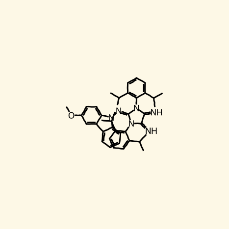 COc1ccc2c(c1)c1ccccc1n2N=C1N(c2c(C(C)C)cccc2C(C)C)C(=N)C(=N)N1c1c(C(C)C)cccc1C(C)C